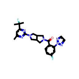 Cc1cc(C(C)(C)F)nc(N2CC3CN(C(=O)c4ccc(F)cc4-n4nccn4)CC3C2)n1